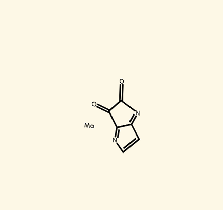 O=c1nc2ccnc-2c1=O.[Mo]